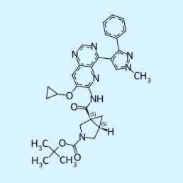 Cn1cc(-c2ncnc3cc(OC4CC4)c(NC(=O)[C@@]45C[C@@H]4CN(C(=O)OC(C)(C)C)C5)nc23)c(-c2ccccc2)n1